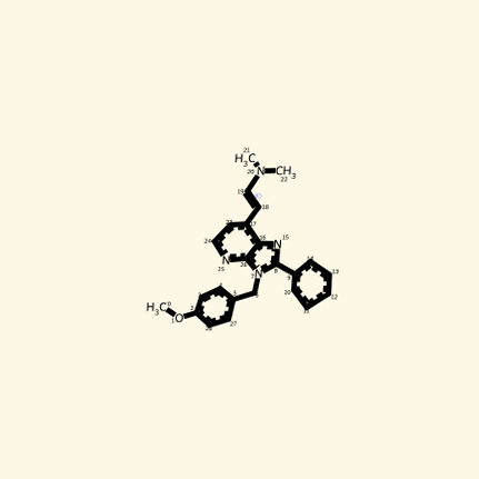 COc1ccc(Cn2c(-c3ccccc3)nc3c(/C=C/N(C)C)ccnc32)cc1